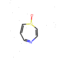 [O-][S+]1C=CC=NC=C1